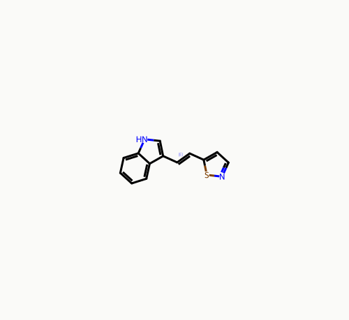 C(=C\c1c[nH]c2ccccc12)/c1ccns1